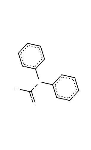 OC(=S)[SH](c1ccccc1)c1ccccc1